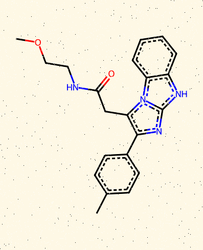 COCCNC(=O)Cc1c(-c2ccc(C)cc2)nc2[nH]c3ccccc3n12